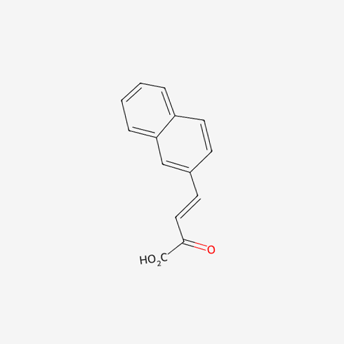 O=C(O)C(=O)C=Cc1ccc2ccccc2c1